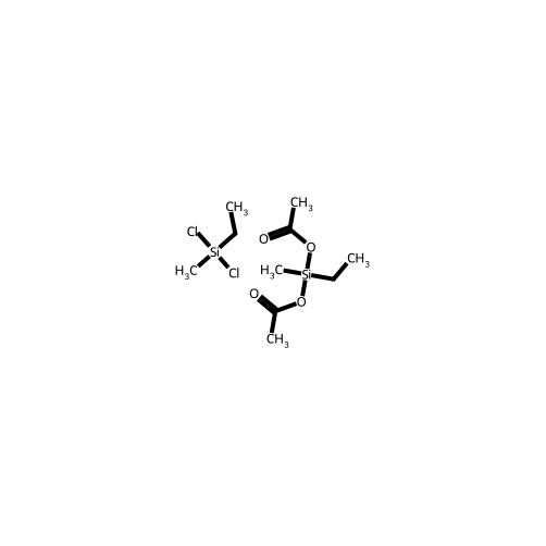 CC[Si](C)(Cl)Cl.CC[Si](C)(OC(C)=O)OC(C)=O